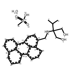 CC(C)C(CO)(CO)NCc1ccc2c3cccc4cccc(c5cccc1c52)c43.CS(=O)(=O)O.O